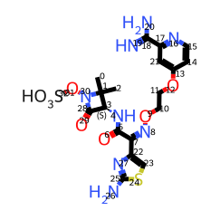 CC1(C)[C@H](NC(=O)C(=NOCCOc2ccnc(C(=N)N)c2)c2csc(N)n2)C(=O)N1OS(=O)(=O)O